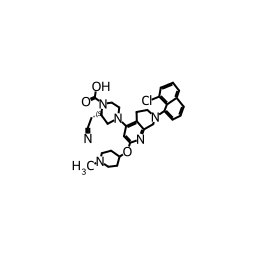 CN1CCC(Oc2cc(N3CCN(C(=O)O)[C@@H](CC#N)C3)c3c(n2)CN(c2cccc4cccc(Cl)c24)CC3)CC1